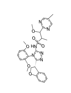 COc1cccc(OC)c1-n1c(NS(=O)(=O)C(C)C(OC)c2ncc(C)cn2)nnc1[C@H]1COc2ccccc21